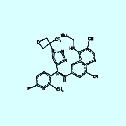 Cc1nc(F)ccc1[C@H](Nc1cc(C#N)c2ncc(C#N)c(NCC(C)(C)C)c2c1)c1cn(C2(C(F)(F)F)COC2)nn1